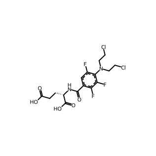 O=C(O)CC[C@H](NC(=O)c1cc(F)c(N(CCCl)CCCl)c(F)c1F)C(=O)O